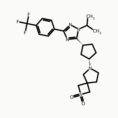 CC(C)n1nc(-c2ccc(C(F)(F)F)cc2)nc1[C@@H]1CC[C@H](N2CCC3(C2)CS(=O)(=O)C3)C1